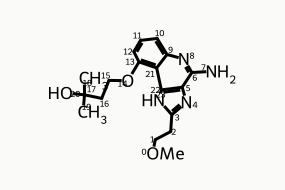 COCCc1nc2c(N)nc3cccc(OCCC(C)(C)O)c3c2[nH]1